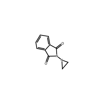 O=C1c2ccccc2C(=O)N1N1CC1